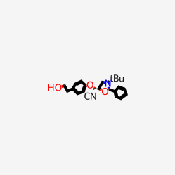 CC(C)(C)N1C[C@@H](COc2ccc(CCO)cc2C#N)OC1c1ccccc1